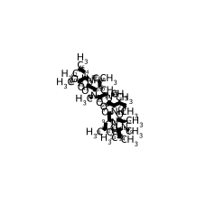 CC[C@H](C)[C@@H](NC(=O)[C@@H](CC(C)C)NC(=O)[C@@H](C)N(C)C(=O)C(C)C)C(=O)N(C)[C@@H](C)C(=O)N(C)[C@@H](CC(C)C)C(=O)N[C@@H](CC(C)C)C(=O)OC